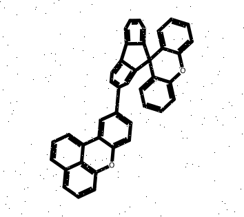 c1ccc2c(c1)Oc1ccccc1C21c2ccccc2-c2ccc(-c3ccc4c(c3)-c3cccc5cccc(c35)O4)cc21